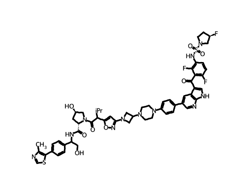 Cc1ncsc1-c1ccc(C(CO)NC(=O)[C@@H]2C[C@@H](O)CN2C(=O)C(c2cc(N3CC(N4CCN(c5ccc(-c6cnc7[nH]cc(C(=O)c8c(F)ccc(NS(=O)(=O)N9CC[C@@H](F)C9)c8F)c7c6)cc5)CC4)C3)no2)C(C)C)cc1